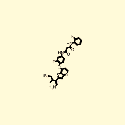 CCC(C)CC(C)/C(=C\N)c1cc2nccc(Oc3ccc(NC(=O)CC(=O)Nc4ccccc4F)cc3F)c2s1